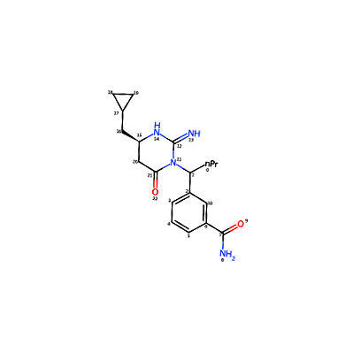 CCCC(c1cccc(C(N)=O)c1)N1C(=N)N[C@H](CC2CC2)CC1=O